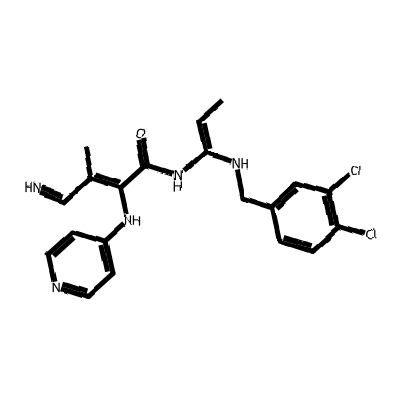 C/C=C(\NCc1ccc(Cl)c(Cl)c1)NC(=O)/C(Nc1ccncc1)=C(\C)C=N